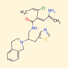 C=C(N)/C=C(C(=O)NCC(Cc1cncs1)N1CCc2ccccc2C1)\C(Cl)=C/C